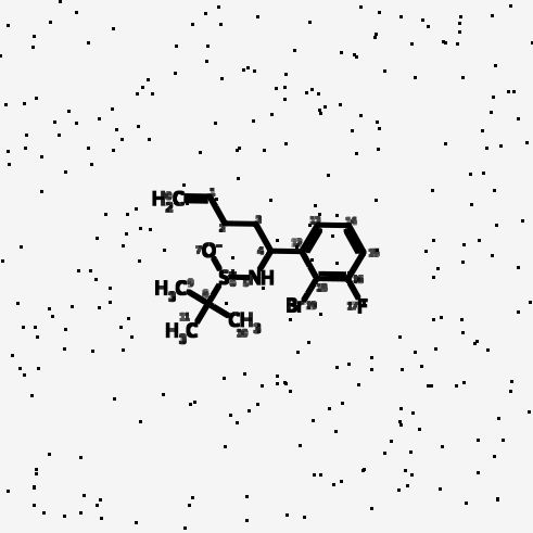 C=CCCC(N[S+]([O-])C(C)(C)C)c1cccc(F)c1Br